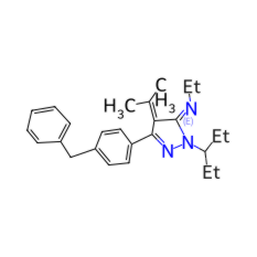 CC/N=C1\C(=C(C)C)C(c2ccc(Cc3ccccc3)cc2)=NN1C(CC)CC